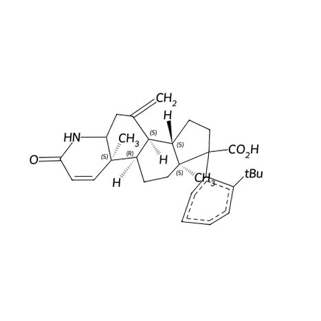 C=C1CC2NC(=O)C=C[C@]2(C)[C@@H]2CC[C@@]3(C)[C@@H](CCC3(C(=O)O)c3ccccc3C(C)(C)C)[C@H]12